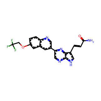 NC(=O)/C=C/c1c[nH]c2ncc(-c3cnc4ccc(OCC(F)(F)F)cc4c3)nc12